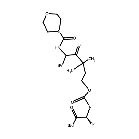 CC(C)C(NC(=O)N1CCOCC1)C(=O)C(C)(C)CCOC(=O)N[C@H](C(=O)C(C)(C)C)C(C)C